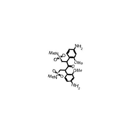 CNS(=O)(=O)CC(C(=O)C(CS(=O)(=O)NC)c1ccc(N)cc1OC)c1ccc(N)cc1OC